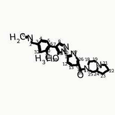 C=NCc1ccc(-c2cnn(-c3ccc(C(=O)N4CCN5CCCC5C4)cn3)c2O)c(C)c1